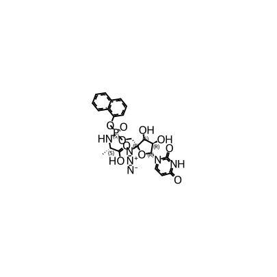 C[C@H](N[P@](=O)(OC[C@@]1(N=[N+]=[N-])O[C@@H](n2ccc(=O)[nH]c2=O)[C@H](O)[C@@H]1O)Oc1cccc2ccccc12)C(=O)O